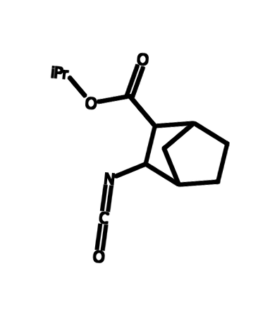 CC(C)OC(=O)C1C2CCC(C2)C1N=C=O